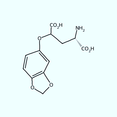 N[C@@H](CC(Oc1ccc2c(c1)OCO2)C(=O)O)C(=O)O